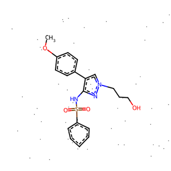 COc1ccc(-c2cn(CCCO)nc2NS(=O)(=O)c2ccccc2)cc1